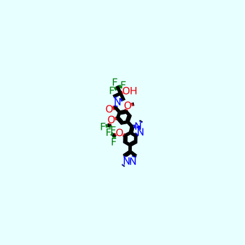 COc1cc(-c2c3c(OC(F)F)cc(-c4cnn(C)c4)cc3nn2C)cc(OC(F)F)c1C(=O)N1CC(O)(C(F)(F)F)C1